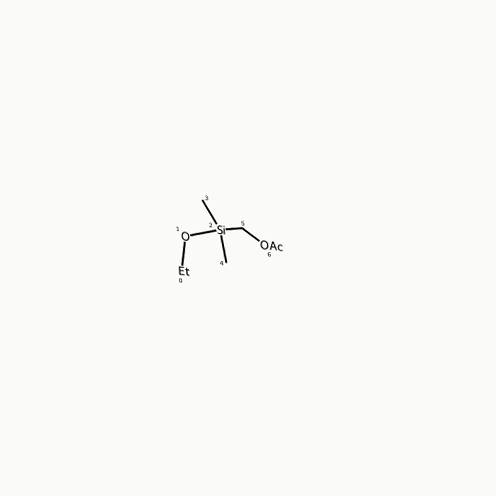 CCO[Si](C)(C)COC(C)=O